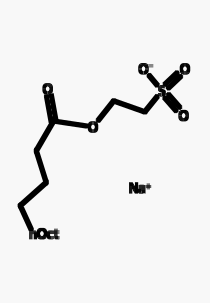 CCCCCCCCCCCC(=O)OCCS(=O)(=O)[O-].[Na+]